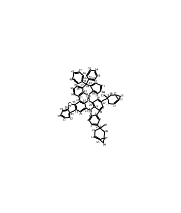 CC1(c2ccc3c(c2)c2cc(C4(C)CC=C5CC5C4)cc4c2n3-c2cc3c(oc5ccccc53)c3c2B4N2c4ccccc4C(c4ccccc4)(c4ccccc4)c4cccc-3c42)CC=C2CC2C1